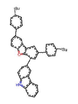 CC(C)(C)c1ccc(-c2ccc3oc4c(-c5ccc6[nH]c7ccccc7c6c5)cc(-c5ccc(C(C)(C)C)cc5)cc4c3c2)cc1